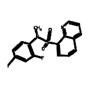 CN(c1ccc(I)cc1F)S(=O)(=O)c1cccc2cccnc12